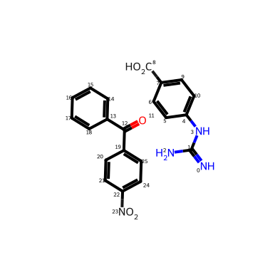 N=C(N)Nc1ccc(C(=O)O)cc1.O=C(c1ccccc1)c1ccc([N+](=O)[O-])cc1